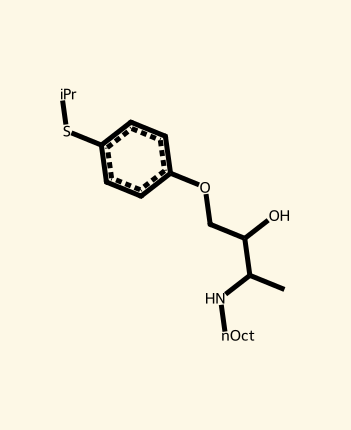 CCCCCCCCNC(C)C(O)COc1ccc(SC(C)C)cc1